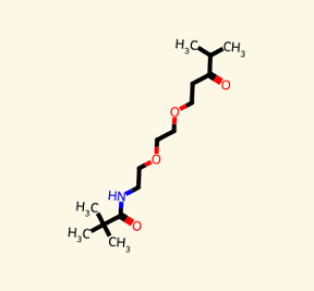 CC(C)C(=O)CCOCCOCCNC(=O)C(C)(C)C